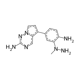 CN(N)c1cc(-c2ccn3nc(N)ncc23)ccc1N